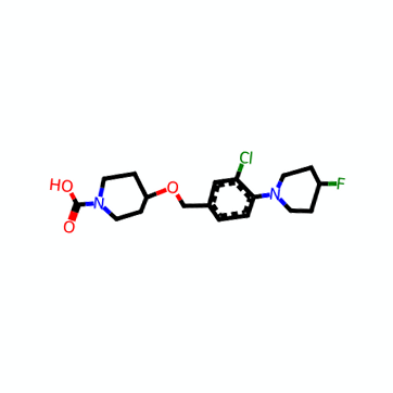 O=C(O)N1CCC(OCc2ccc(N3CCC(F)CC3)c(Cl)c2)CC1